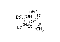 C=CC(=O)OCCC.CCC(O)N(CC)CC